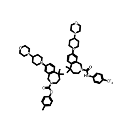 CC1(C)CCN(C(=O)Nc2ccc(C(F)(F)F)cc2)Cc2cc(N3CCC(N4CCOCC4)CC3)ccc21.Cc1ccc(OC(=O)N2CCC(C)(C)c3ccc(N4CCC(N5CCOCC5)CC4)cc3C2)cc1